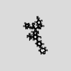 Cc1c(-c2ccc(N3CCOCC3)cc2)cc(C(F)(F)F)c2cn(C(C(=O)Nc3nccs3)c3ncn4c3CC(F)C4)nc12